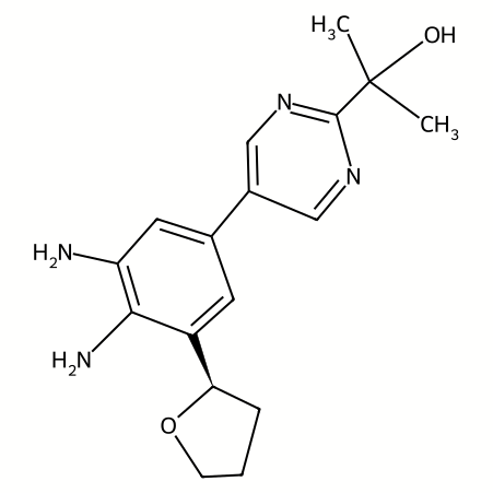 CC(C)(O)c1ncc(-c2cc(N)c(N)c([C@H]3CCCO3)c2)cn1